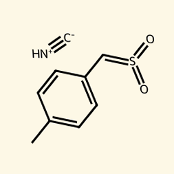 Cc1ccc(C=S(=O)=O)cc1.[C-]#[NH+]